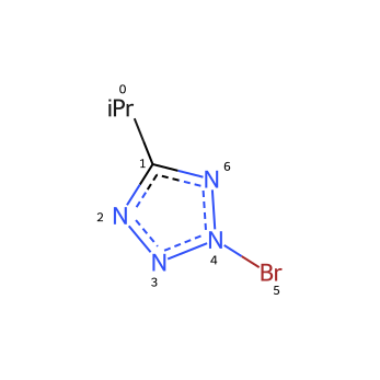 CC(C)c1nnn(Br)n1